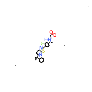 COC(=O)CCNC(C)c1ccc(-c2nc3ccc(C4(c5ccccc5)CC4)nc3s2)c(F)c1